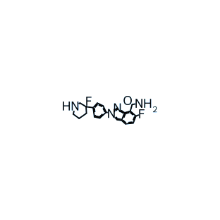 NC(=O)c1c(F)ccc2cn(-c3ccc([C@@]4(F)CCCNC4)cc3)nc12